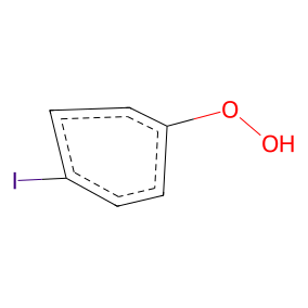 OOc1ccc(I)cc1